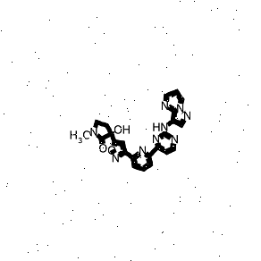 CN1CC[C@@](O)(c2cc(-c3cccc(-c4ccnc(Nc5cnn6cccnc56)n4)n3)no2)C1=O